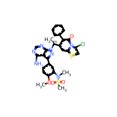 COc1ccc(-c2nn([C@@H](C)c3cc4scc(Cl)n4c(=O)c3-c3ccccc3)c3ncnc(N)c23)cc1N(C)S(C)(=O)=O